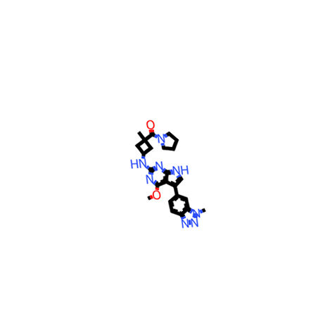 COc1nc(NC2CC(C)(C(=O)N3CCCC3)C2)nc2[nH]cc(-c3ccc4nnn(C)c4c3)c12